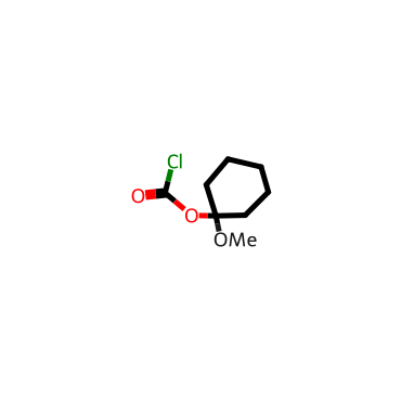 COC1(OC(=O)Cl)CCCCC1